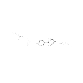 CCCCCCCCCCCCc1cnc(-c2ccc(OCC(F)CCCC(F)CCCC)cc2)nc1